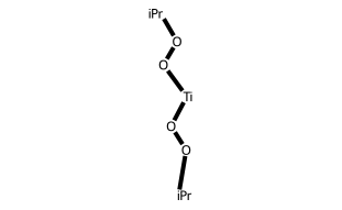 CC(C)O[O][Ti][O]OC(C)C